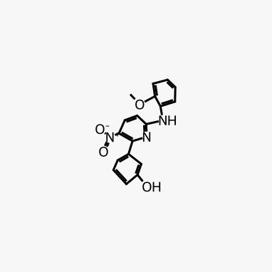 COc1ccccc1Nc1ccc([N+](=O)[O-])c(-c2cccc(O)c2)n1